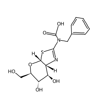 O=C(O)N(Cc1ccccc1)C1=N[C@@H]2[C@@H](O)[C@H](O)[C@@H](CO)O[C@@H]2S1